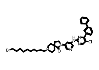 O=C1N(c2cncc(Nc3ncc(Cl)c(-c4cccc(-c5ccccc5)c4)n3)c2)CCC12CCN(CCCCCCCCCCBr)CC2